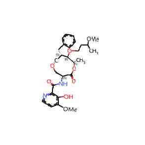 COc1ccnc(C(=O)N[C@H]2COC[C@H](Cc3ccccc3)[C@@H](OCCC(C)OC)[C@H](C)OC2=O)c1O